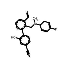 CN(Cc1c(C=O)ccnc1-c1ccc(C#N)cc1O)C1C=CC(F)=CC1